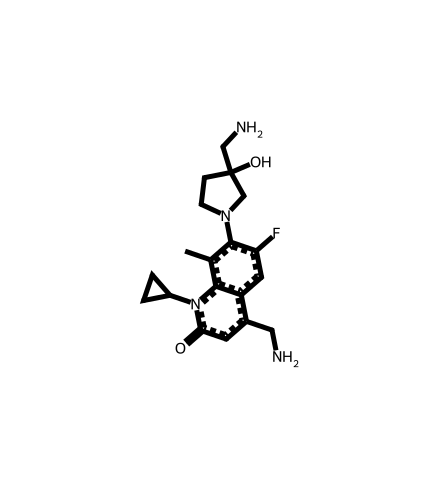 Cc1c(N2CCC(O)(CN)C2)c(F)cc2c(CN)cc(=O)n(C3CC3)c12